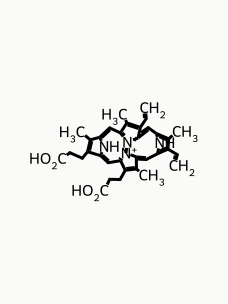 C=CC1=C(C)c2cc3[nH]c(cc4[n+]5c(cc6[nH]c(cc1[n+]25)c(C)c6C=C)C(C)=C4CCC(=O)O)c(CCC(=O)O)c3C